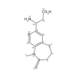 CN1C(=O)CCSc2cc(C(N)CC(=O)O)ncc21